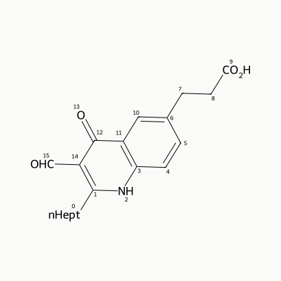 CCCCCCCc1[nH]c2ccc(CCC(=O)O)cc2c(=O)c1C=O